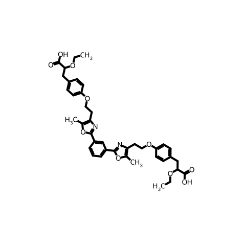 CCOC(Cc1ccc(OCCc2nc(-c3cccc(-c4nc(CCOc5ccc(CC(OCC)C(=O)O)cc5)c(C)o4)c3)oc2C)cc1)C(=O)O